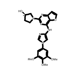 COc1cc(-n2cnc(Nc3nc(N4CC[C@@H](O)C4)nc4ccoc34)c2)cc(OC)c1OC